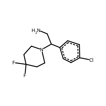 NCC(c1ccc(Cl)cc1)N1CCC(F)(F)CC1